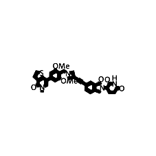 COc1cc(-c2cn(C)c(=O)c3ccsc23)cc(OC)c1CN1CC(C#Cc2ccc3c(c2)C(=O)N(C2CCC(=O)NC2=O)C3)C1